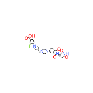 O=C1CC[C@H](N2C(=O)c3ccc(N4CCN(CC5CCN(c6ccc(C(=O)O)cc6F)CC5)CC4)cc3C2=O)C(=O)N1